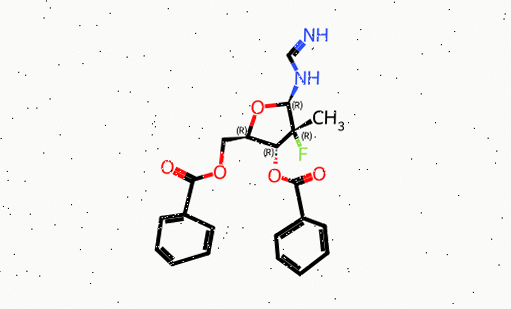 C[C@]1(F)[C@H](NC=N)O[C@H](COC(=O)c2ccccc2)[C@H]1OC(=O)c1ccccc1